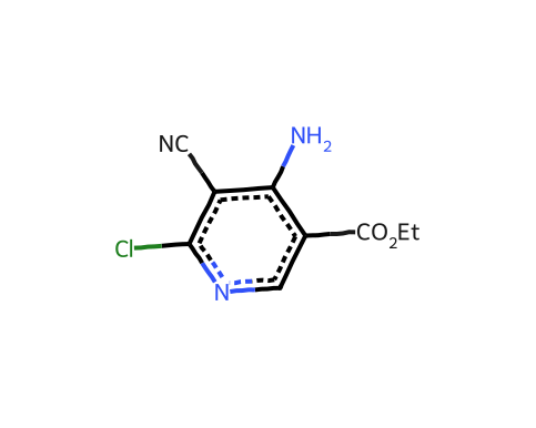 CCOC(=O)c1cnc(Cl)c(C#N)c1N